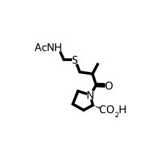 CC(=O)NCSCC(C)C(=O)N1CCC[C@H]1C(=O)O